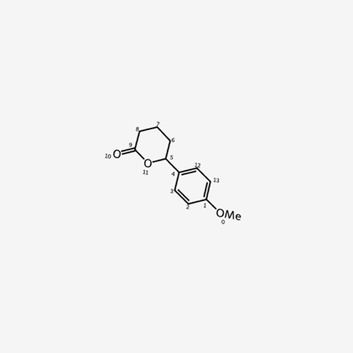 COc1ccc(C2CCCC(=O)O2)cc1